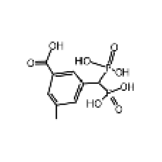 Cc1cc(C(=O)O)cc(C(P(=O)(O)O)P(=O)(O)O)c1